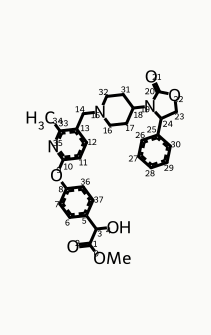 COC(=O)C(O)c1ccc(Oc2ccc(CN3CCC(N4C(=O)OCC4c4ccccc4)CC3)c(C)n2)cc1